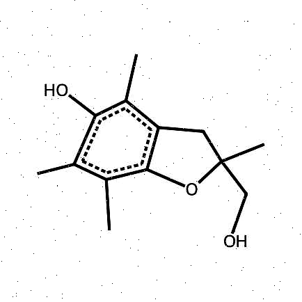 Cc1c(C)c2c(c(C)c1O)CC(C)(CO)O2